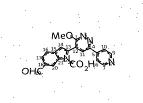 COc1nnc(-c2ccncc2)cc1-c1cc2ccc(C=O)cc2n1C(=O)O